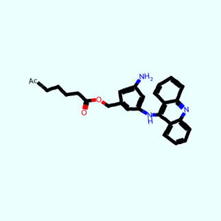 CC(=O)CCCCC(=O)OCc1cc(N)cc(Nc2c3ccccc3nc3ccccc23)c1